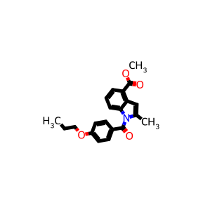 CCCOc1ccc(C(=O)n2c(C)cc3c(C(=O)OC)cccc32)cc1